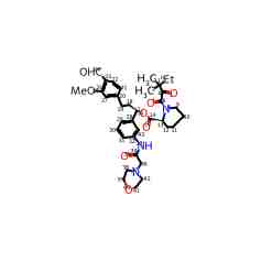 CCC(C)(C)C(=O)C(=O)N1CCCC[C@H]1C(=O)O[C@H](CCc1ccc(C=O)c(OC)c1)c1cccc(NC(=O)CN2CCOCC2)c1